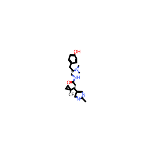 Cc1ncc([C@@H](CC(=O)NC[C@H](Cc2ccc(O)cc2)N(C)C)C2(C(F)(F)F)CC2)cn1